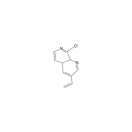 C=CC1=CC2C=CN=C(Cl)C2N=C1